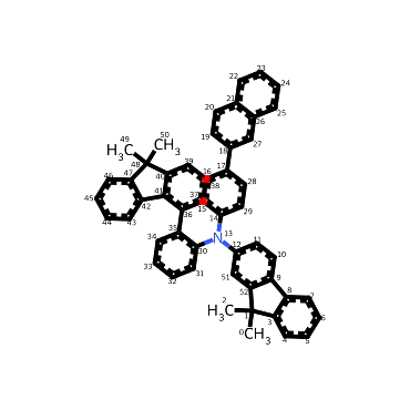 CC1(C)c2ccccc2-c2ccc(N(c3ccc(-c4ccc5ccccc5c4)cc3)c3ccccc3-c3cccc4c3-c3ccccc3C4(C)C)cc21